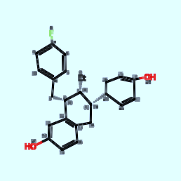 CC[C@H]1[C@@H](Cc2ccc(F)cc2)c2cc(O)ccc2C[C@H]1C1C=CC(O)=CC1